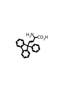 NC(/C=C/C1(c2ccccc2)c2ccccc2-c2ccccc21)C(=O)O